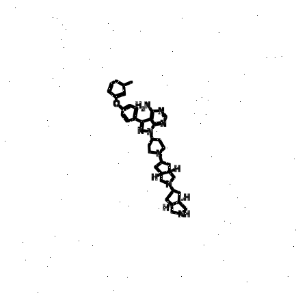 CC1C=C(Oc2ccc(-c3nn(C4CCN(C5C[C@@H]6CN(C7C[C@H]8CNC[C@H]8C7)C[C@@H]6C5)CC4)c4ncnc(N)c34)cc2)C=CC1